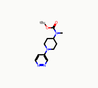 CN(C(=O)OC(C)(C)C)C1CCN(c2ccnnc2)CC1